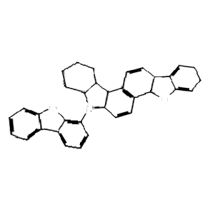 C1=CC2C(C3=C1C1OC4=CCCC=C4C1C=C3)C1CCCCC1N2c1cccc2c1oc1ccccc12